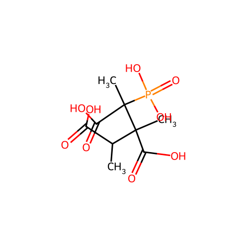 CC(C(=O)O)C(C)(C(=O)O)C(C)(C(=O)O)P(=O)(O)O